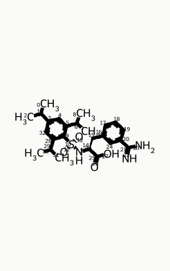 CC(C)c1cc(C(C)C)c(S(=O)(=O)N[C@@H](Cc2cccc(C(=N)N)c2)C(=O)O)c(C(C)C)c1